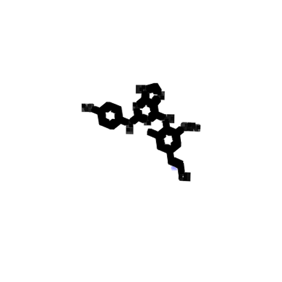 COc1cc(/C=C/C#N)cc(C)c1Nc1nc(Nc2ccc(C#N)cc2)nc2[nH]cnc12